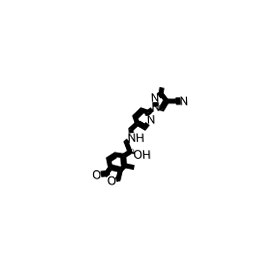 Cc1nn(-c2ccc(CNC[C@H](O)c3ccc4c(c3C)COC4=O)cn2)cc1C#N